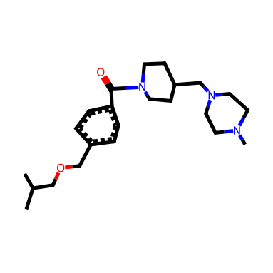 CC(C)COCc1ccc(C(=O)N2CCC(CN3CCN(C)CC3)CC2)cc1